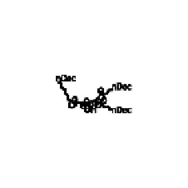 CCCCCCCCCCCCCCCCCC1OCC(COP(=O)(O)OC[C@@H](COC(=O)CCCCCCCCCCCCC)OC(=O)CCCCCCCCCCCCC)O1